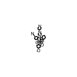 COc1ccc(S(=O)(=O)N2C(=O)C(c3ccccc3OC)(N3CCN(c4ccncc4)CC3)c3cc(C#N)ccc32)c(OC)c1